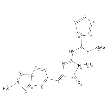 COCC(NC1=N/C(=C\c2ccc3nn(C)cc3c2)C(=O)N1C)c1ccccc1